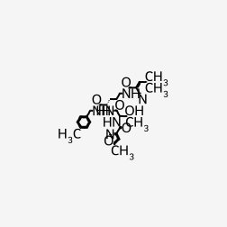 Cc1ccc(CNC(=O)[C@H](CCCNC(=O)C(C#N)=CC(C)C)NC(=O)[C@@H](NC(=O)c2cc(C)on2)[C@@H](C)O)cc1